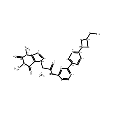 C[C@@H](C(=O)Nc1ccnc(-c2cnc(N3CC(CF)C3)nc2)n1)n1cnc2c1c(=O)n(C)c(=O)n2C